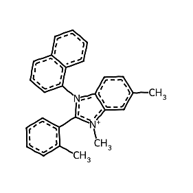 Cc1ccc2c(c1)[n+](C)c(-c1ccccc1C)n2-c1cccc2ccccc12